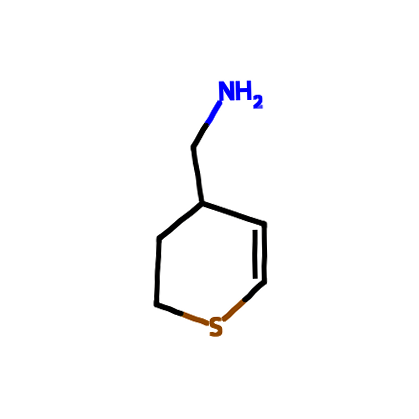 NCC1C=CSCC1